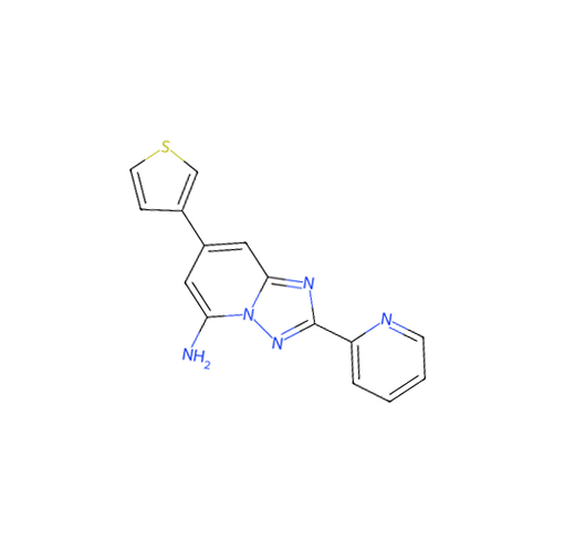 Nc1cc(-c2ccsc2)cc2nc(-c3ccccn3)nn12